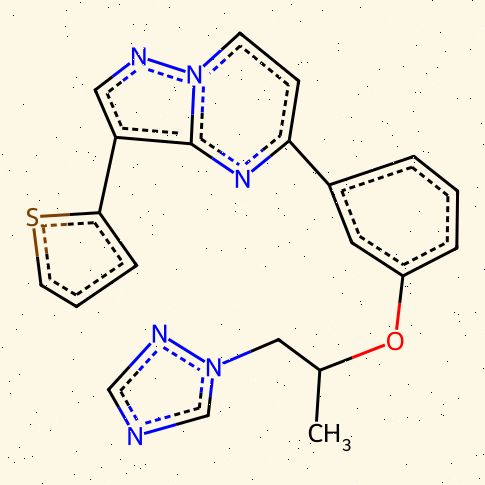 CC(Cn1cncn1)Oc1cccc(-c2ccn3ncc(-c4cccs4)c3n2)c1